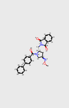 CON=C1C[C@@H](CN2C(=O)c3ccccc3C2=O)N(C(=O)c2ccc(-c3ccccc3)cc2)C1